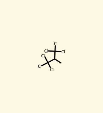 C[C](C(Cl)(Cl)Cl)C(Cl)(Cl)Cl